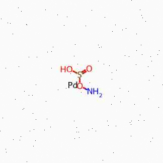 NOS(=O)O.[Pd]